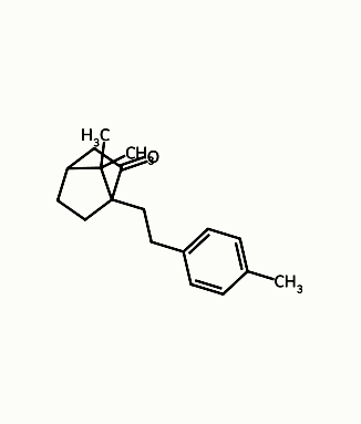 Cc1ccc(CCC23CCC(CC2=O)C3(C)C)cc1